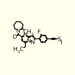 CCc1cc(C(=O)N2CCCCC[C@H]2C)nc2cc(-c3ccc(C#CSI)cc3F)nn12